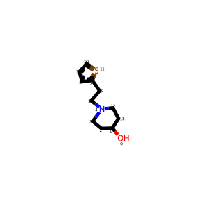 OC1CCN(CCc2cccs2)CC1